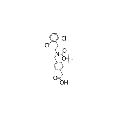 CC(C)(C)OC(=O)N(CCc1c(Cl)cccc1Cl)Cc1ccc(CC(=O)O)cc1